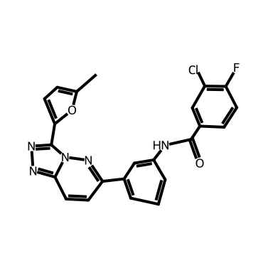 Cc1ccc(-c2nnc3ccc(-c4cccc(NC(=O)c5ccc(F)c(Cl)c5)c4)nn23)o1